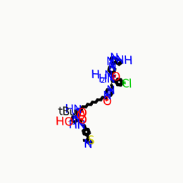 Cc1ncsc1-c1ccc(CNC(=O)[C@H]2C[C@H](O)CN2C(=O)[C@@H](NC(=O)CCCCCCCCCC(=O)N2CCN(CC[C@H](NC(=O)C3(N)CCN(c4ncnc5[nH]ccc45)CC3)c3ccc(Cl)cc3)CC2)C(C)(C)C)cc1